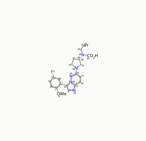 COc1ccc(F)cc1-c1cnc2ccc(N3CC[C@H](N(CC(C)C)C(=O)O)C3)nn12